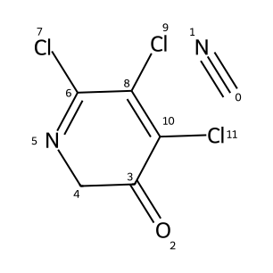 C#N.O=C1CN=C(Cl)C(Cl)=C1Cl